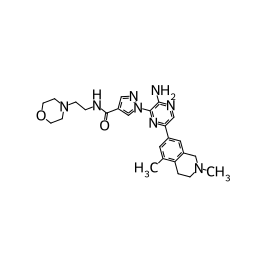 Cc1cc(-c2cnc(N)c(-n3cc(C(=O)NCCN4CCOCC4)cn3)n2)cc2c1CCN(C)C2